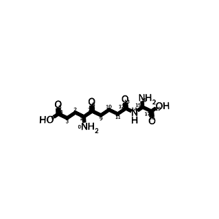 NC(CCC(=O)O)C(=O)CCCC(=O)NC(N)C(=O)O